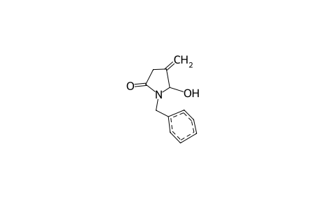 C=C1CC(=O)N(Cc2ccccc2)C1O